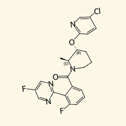 C[C@H]1[C@H](Oc2ccc(Cl)cn2)CCCN1C(=O)c1cccc(F)c1-c1ncc(F)cn1